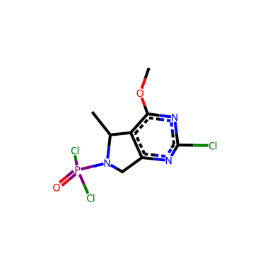 COc1nc(Cl)nc2c1C(C)N(P(=O)(Cl)Cl)C2